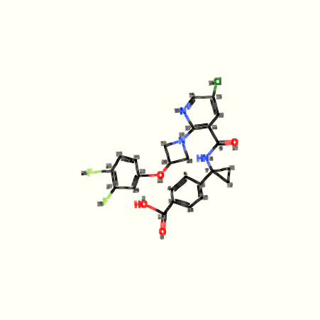 O=C(O)c1ccc(C2(NC(=O)c3cc(Cl)cnc3N3CC(Oc4ccc(F)c(F)c4)C3)CC2)cc1